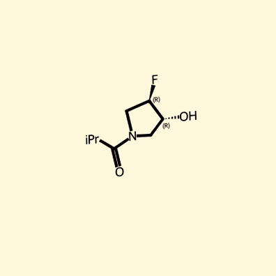 CC(C)C(=O)N1C[C@@H](O)[C@H](F)C1